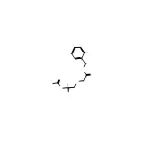 C[C@H](OC[C@@](C)(C=O)NC(=O)C(C)(C)C)C(=O)OCc1ccccc1